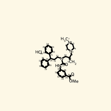 C=C(CN1CCN(C)CC1)CN(CCC(c1ccccc1)c1ccccc1)C(=O)Nc1cccc(C(=O)OC)c1.Cl